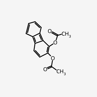 CC(=O)Oc1ccc2c(c1OC(C)=O)=c1ccccc1=2